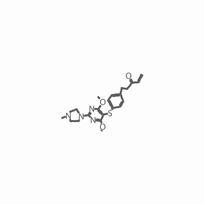 C=CC(=O)CCc1ccc(Sc2c(OC)nc(N3CCN(C)CC3)nc2OC)cc1